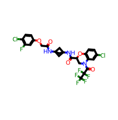 O=C(COc1ccc(Cl)c(F)c1)NC12CC(NC(=O)C3CN(C(=O)C(F)(F)C(F)(F)F)c4cc(Cl)ccc4O3)(C1)C2